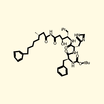 CC(C)C[C@H](NC(=O)[C@H](Cc1c[nH]cn1)NC(=O)[C@H](Cc1ccccc1)NC(=O)OC(C)(C)C)[C@@H](O)CC(=O)NC(=O)C[C@@H](C)[CH]CCCCc1ccccc1